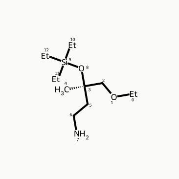 CCOC[C@@](C)(CCN)O[Si](CC)(CC)CC